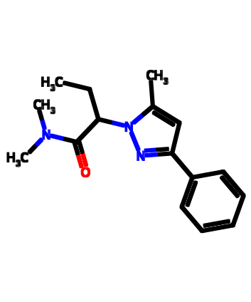 CCC(C(=O)N(C)C)n1nc(-c2ccccc2)cc1C